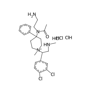 CNCC(c1ccc(Cl)c(Cl)c1)[N+]1(C)CCC(c2ccccc2)(N(CCN)C(C)=O)CC1.Cl.Cl.Cl